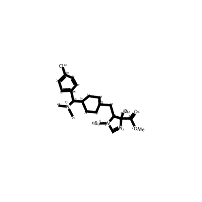 CCCCN1C=NC(C(=O)OC)(C(C)CC)C1CC1CCC(C(c2ccc(Cl)cc2)N(C)C)CC1